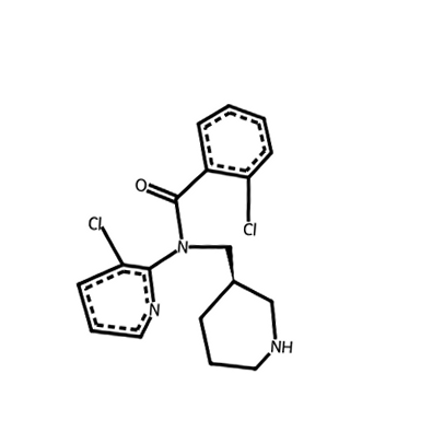 O=C(c1ccccc1Cl)N(C[C@@H]1CCCNC1)c1ncccc1Cl